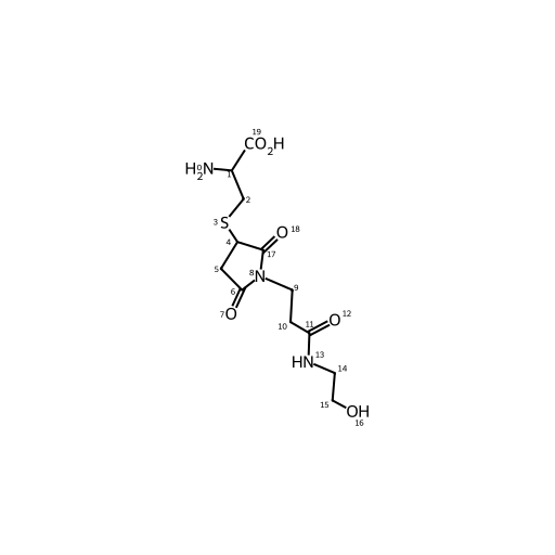 NC(CSC1CC(=O)N(CCC(=O)NCCO)C1=O)C(=O)O